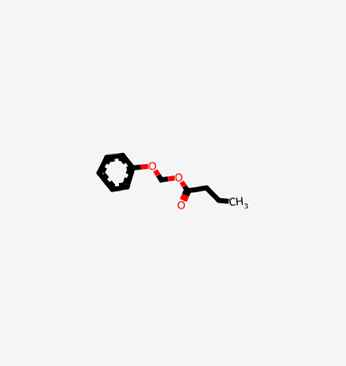 CCCC(=O)OCOc1ccccc1